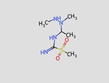 CNN(C)C(C)NC(=N)S(C)(=O)=O